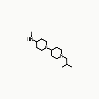 CC(C)CN1CCC(N2CCC(NI)CC2)CC1